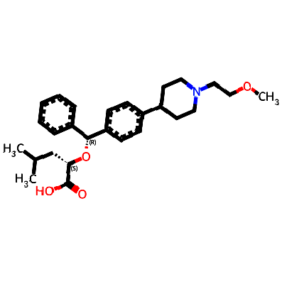 COCCN1CCC(c2ccc([C@H](O[C@@H](CC(C)C)C(=O)O)c3ccccc3)cc2)CC1